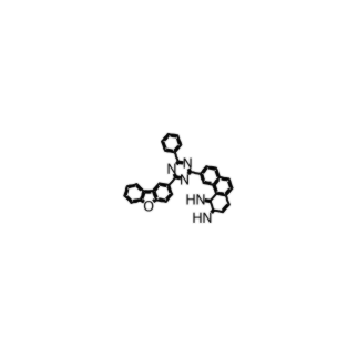 N=C1C=Cc2ccc3ccc(-c4nc(-c5ccccc5)nc(-c5ccc6oc7ccccc7c6c5)n4)cc3c2C1=N